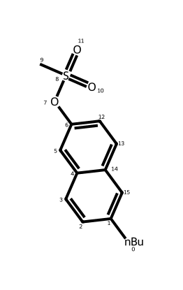 CCCCc1ccc2cc(OS(C)(=O)=O)ccc2c1